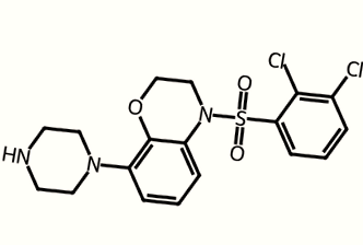 O=S(=O)(c1cccc(Cl)c1Cl)N1CCOc2c(N3CCNCC3)cccc21